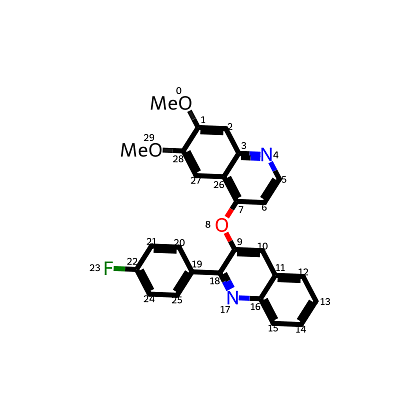 COc1cc2nccc(Oc3cc4ccccc4nc3-c3ccc(F)cc3)c2cc1OC